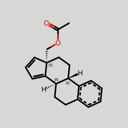 CC(=O)OC[C@@]12C=CC=C1[C@@H]1CCc3ccccc3[C@H]1CC2